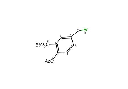 CCOC(=O)c1cc(CBr)ccc1OC(C)=O